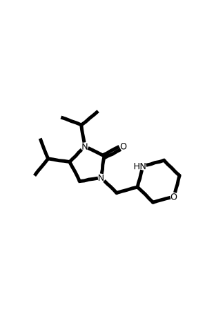 CC(C)C1CN(CC2COCCN2)C(=O)N1C(C)C